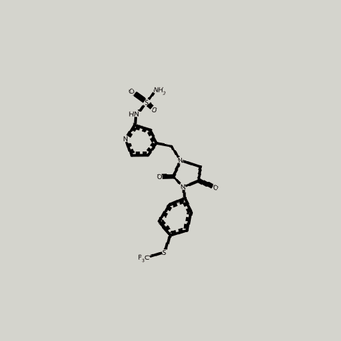 NS(=O)(=O)Nc1cc(CN2CC(=O)N(c3ccc(SC(F)(F)F)cc3)C2=O)ccn1